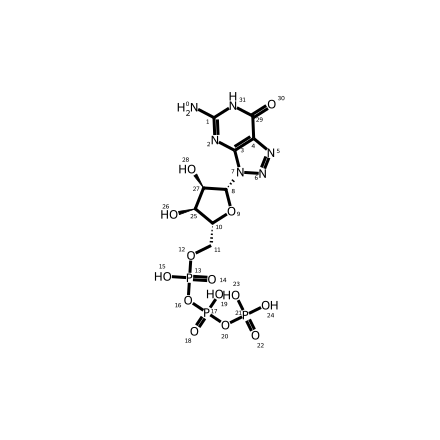 Nc1nc2c(nnn2[C@@H]2O[C@H](COP(=O)(O)OP(=O)(O)OP(=O)(O)O)[C@@H](O)[C@H]2O)c(=O)[nH]1